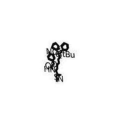 Cc1ncc(C(CCCCCO[Si](c2ccccc2)(c2ccccc2)C(C)(C)C)NC(=O)Oc2ccc([N+](=O)[O-])cc2)s1